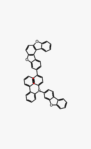 c1ccc(-c2ccccc2N(c2ccc(-c3ccc4c(c3)oc3ccc5oc6ccccc6c5c34)cc2)c2ccc3c(c2)oc2ccccc23)cc1